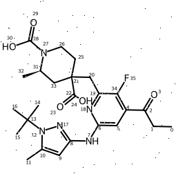 CCC(=O)c1cc(Nc2cc(C)n(C(C)(C)C)n2)nc(CC2(C(=O)O)CCN(C(=O)O)[C@H](C)C2)c1F